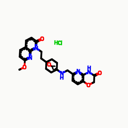 COc1ccc2ccc(=O)n(CCC34CCC(NCc5ccc6c(n5)NC(=O)CO6)(CC3)CO4)c2n1.Cl